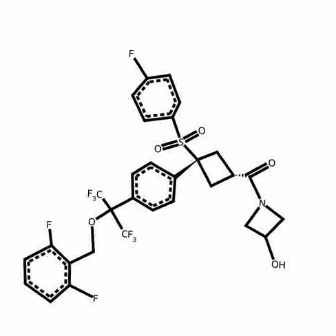 O=C([C@H]1C[C@@](c2ccc(C(OCc3c(F)cccc3F)(C(F)(F)F)C(F)(F)F)cc2)(S(=O)(=O)c2ccc(F)cc2)C1)N1CC(O)C1